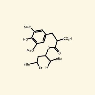 CCCCC(CC)CC(OC(=O)C(Cc1cc(OC)c(O)c(OC)c1)C(=O)O)C(CC)CCCC